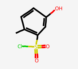 Cc1ccc(O)cc1S(=O)(=O)Cl